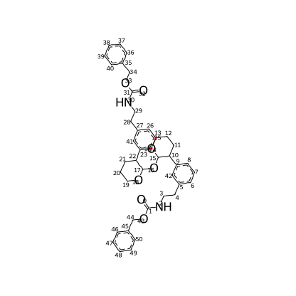 O=C(NCCc1cccc(C2CCCOC2OC2OCCCC2c2cccc(CCNC(=O)OCc3ccccc3)c2)c1)OCc1ccccc1